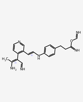 C/C(N)=C(/C=N)c1ccncc1/C=C/Nc1ccc(CCC(=N)OC=N)cc1